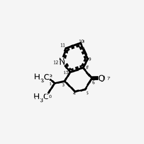 CC(C)C1CCC(=O)c2cccnc21